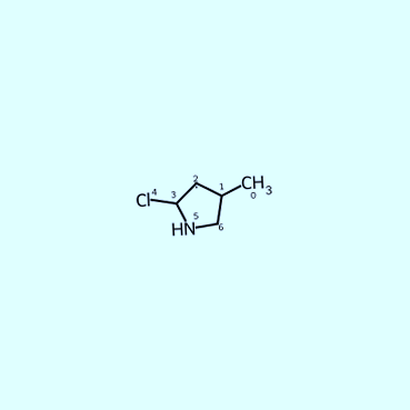 CC1[CH]C(Cl)NC1